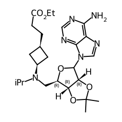 CCOC(=O)CC[C@H]1C[C@@H](N(C[C@H]2OC(n3cnc4c(N)ncnc43)[C@@H]3OC(C)(C)O[C@H]23)C(C)C)C1